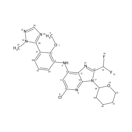 COc1c(Nc2cc(Cl)nc3c2nc(C(F)F)n3C2CCCCO2)cccc1-c1ncnn1C